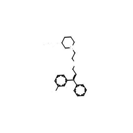 CCOC(=O)[C@@H]1CCCN(CCOCC=C(c2ccccc2)c2cccc(Cl)c2)C1